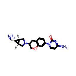 NC[C@@H]1[C@H]2CN(C3COc4cc(-n5ccc(N)nc5=O)ccc4C3)C[C@@H]12